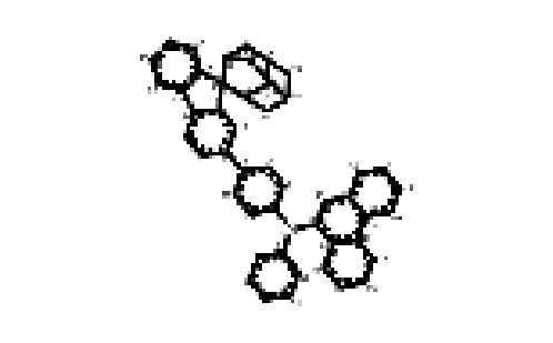 c1ccc(N(c2ccc(-c3ccc4c(c3)C3(c5ccccc5-4)C4CC5CC(C4)CC3C5)cc2)c2cc3ccccc3c3ccccc23)cc1